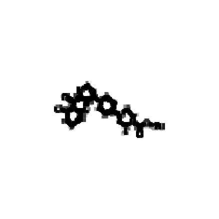 C[C@H]1CN(c2ccc(-c3ccnc4c(=O)c5c(Cl)cccc5oc34)cc2)CCN1C(=O)OC(C)(C)C